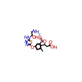 Cc1cc(Oc2nnc(NC(=O)CN)s2)cc2c1C(CC(=O)O)OB2O